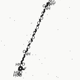 O=C(CCOCCOCCOCCOCCOCCOCCOCCOCCNC(=O)c1cc([N+](=O)[O-])[nH]n1)NCCCCCC(=O)Nc1ccc(OP(=O)(O)O)c(CF)c1